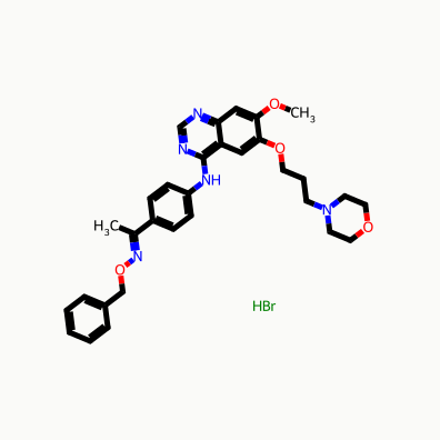 Br.COc1cc2ncnc(Nc3ccc(C(C)=NOCc4ccccc4)cc3)c2cc1OCCCN1CCOCC1